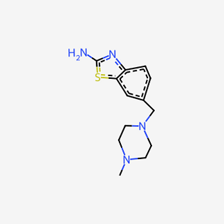 CN1CCN(Cc2ccc3nc(N)sc3c2)CC1